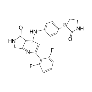 O=C1NCc2nc(-c3c(F)cccc3F)cc(Nc3ccc([C@@H]4CCNC4=O)cc3)c21